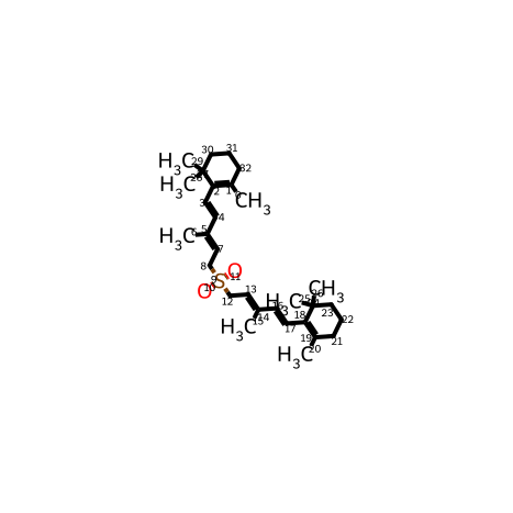 CC1=C(/C=C/C(C)=C/CS(=O)(=O)C/C=C(C)/C=C/C2=C(C)CCCC2(C)C)C(C)(C)CCC1